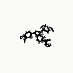 CC[C@H](C)n1cc(-c2ccc(Cl)c(F)c2)c2ccc(C(=O)O)nc21